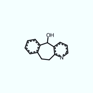 OC1c2ccccc2CCc2ncccc21